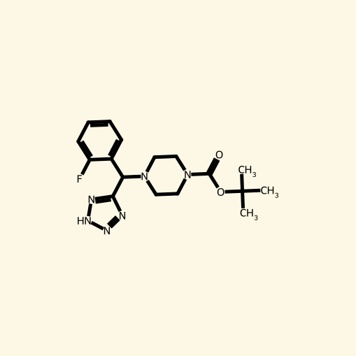 CC(C)(C)OC(=O)N1CCN(C(c2nn[nH]n2)c2ccccc2F)CC1